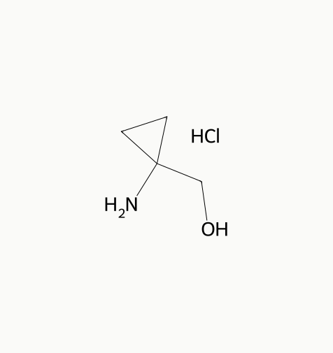 Cl.NC1(CO)CC1